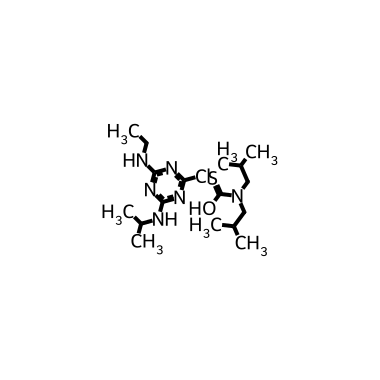 CC(C)CN(CC(C)C)C(O)=S.CCNc1nc(Cl)nc(NC(C)C)n1